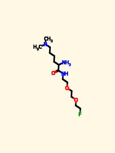 CN(C)CCCCC(N)C(=O)NCCOCCOCCF